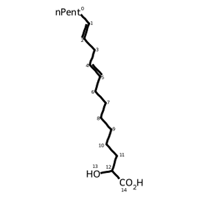 CCCCC/C=C/C/C=C/CCCCCCC(O)C(=O)O